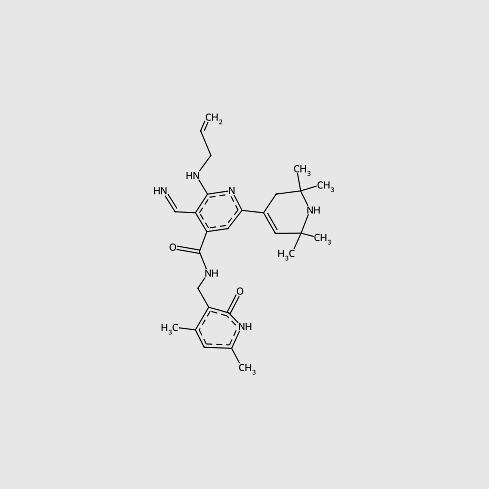 C=CCNc1nc(C2=CC(C)(C)NC(C)(C)C2)cc(C(=O)NCc2c(C)cc(C)[nH]c2=O)c1C=N